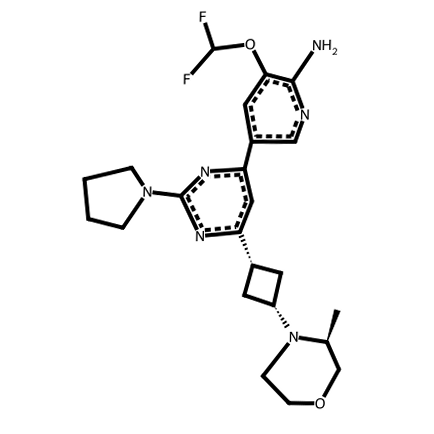 C[C@H]1COCCN1[C@H]1C[C@@H](c2cc(-c3cnc(N)c(OC(F)F)c3)nc(N3CCCC3)n2)C1